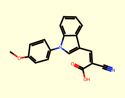 COc1ccc(-n2cc(C=C(C#N)C(=O)O)c3ccccc32)cc1